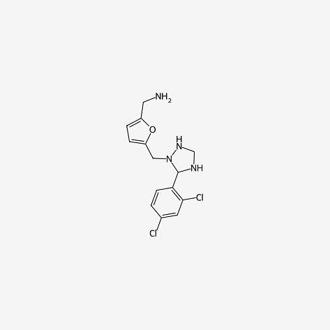 NCc1ccc(CN2NCNC2c2ccc(Cl)cc2Cl)o1